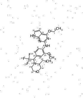 CCOc1nc(Nc2ccc(C(N3CCOCC3CC)C(F)(F)F)cc2OC)nc2[nH]ccc12